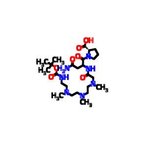 CN(CCNC(=O)OC(C)(C)C)CCN(C)CCN(C)CC(=O)NC(CC(N)=O)C(=O)N1CCC[C@H]1C(=O)O